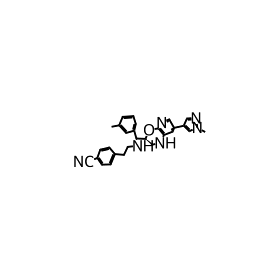 Cc1cccc([C@@H](NCCc2ccc(C#N)cc2)[C@@H]2CNc3cc(-c4cnn(C)c4)cnc3O2)c1